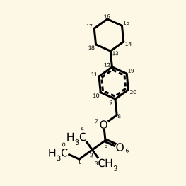 CCC(C)(C)C(=O)OCc1ccc(C2CCCCC2)cc1